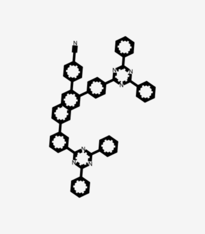 N#Cc1ccc(-c2cc3ccc(-c4cccc(-c5nc(-c6ccccc6)nc(-c6ccccc6)n5)c4)cc3cc2-c2ccc(-c3nc(-c4ccccc4)nc(-c4ccccc4)n3)cc2)cc1